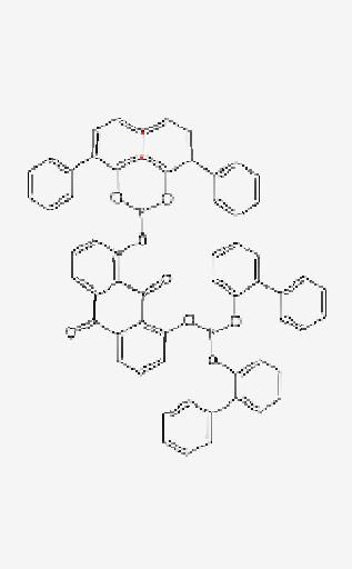 O=C1c2cccc(OP(Oc3ccccc3-c3ccccc3)Oc3ccccc3-c3ccccc3)c2C(=O)c2c(OP(Oc3ccccc3-c3ccccc3)Oc3ccccc3-c3ccccc3)cccc21